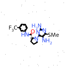 CSc1nc(N)nc(N2CCC[C@@H]2C(=O)Nc2cccc(C(F)(F)F)c2)c1N